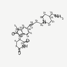 Cn1c(=O)n(C2CCC(=O)NC2=O)c2ccc(C#CCCN3CCC(CN)CC3)cc21